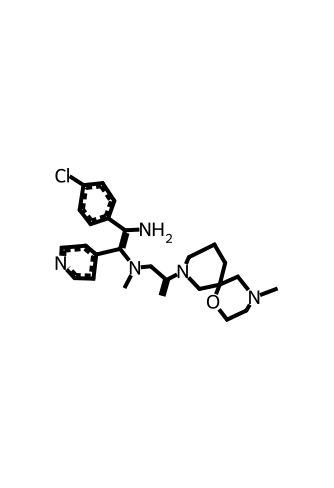 C=C(CN(C)/C(=C(\N)c1ccc(Cl)cc1)c1ccncc1)N1CCCC2(CN(C)CCO2)C1